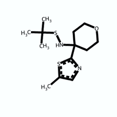 Cc1cnc(C2(NSC(C)(C)C)CCOCC2)s1